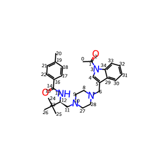 CC(=O)n1cc(CN2CCN(C[C@H](NC(=O)c3ccc(C)cc3)C(C)(C)C)CC2)c2ccccc21